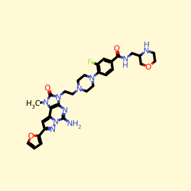 Cn1c(=O)n(CCN2CCN(c3ccc(C(=O)NCC4COCCN4)cc3F)CC2)c2nc(N)n3nc(-c4ccco4)cc3c21